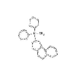 C[N+](c1ccccc1)(c1ccccc1)c1ccc2ccc3ccccc3c2c1